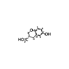 O=C(O)[C@@H]1COc2ccc(O)cc2C1